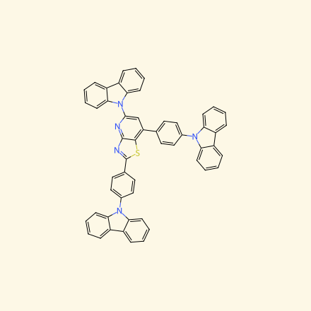 c1ccc2c(c1)c1ccccc1n2-c1ccc(-c2nc3nc(-n4c5ccccc5c5ccccc54)cc(-c4ccc(-n5c6ccccc6c6ccccc65)cc4)c3s2)cc1